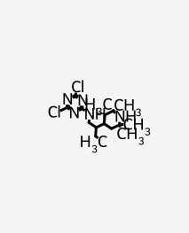 CCC(CNc1nc(Cl)nc(Cl)n1)C1CC(C)(C)NC(C)(C)C1